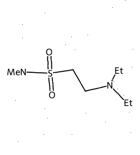 CCN(CC)CCS(=O)(=O)NC